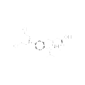 CC(C)Oc1ccc(N(CCCl)CCCl)cc1CC(N)CC(=O)O